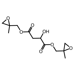 CC1(COC(=O)CC(O)C(=O)OCC2(C)CO2)CO1